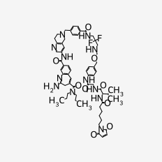 CCCN(CCC)C(=O)C1=Cc2ccc(C(=O)Nc3cnc4c(c3)CN(Cc3ccc(C(=O)NCC(F)(F)CNCOCc5ccc(NC(=O)CNC(=O)C(NC(=O)CCCCCN6C(=O)C=CC6=O)C(C)C)cc5)cc3)CC4)cc2N=C(N)C1